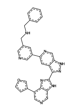 c1ccc(CNCc2cncc(-c3cc4c(-c5nc6c(-c7ccoc7)cncc6[nH]5)n[nH]c4cn3)c2)cc1